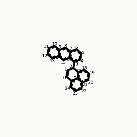 C1=CC(c2cccc3cc4ccccc4cc23)c2cccc3cccc1c23